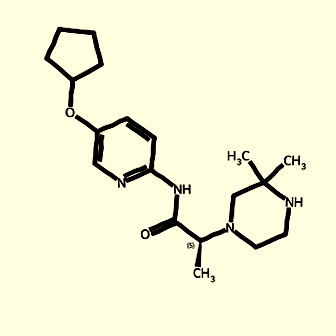 C[C@@H](C(=O)Nc1ccc(OC2CCCC2)cn1)N1CCNC(C)(C)C1